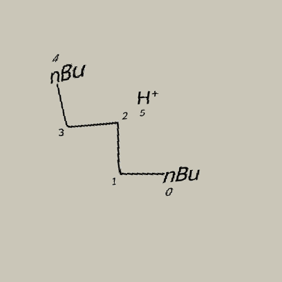 C[CH]CCCCCCCCC.[H+]